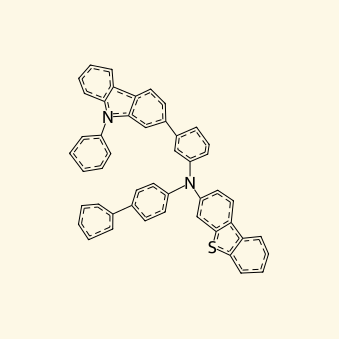 c1ccc(-c2ccc(N(c3cccc(-c4ccc5c6ccccc6n(-c6ccccc6)c5c4)c3)c3ccc4c(c3)sc3ccccc34)cc2)cc1